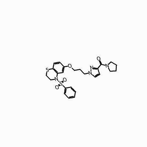 O=C(c1ccn(CCCOc2ccc3c(c2)N(S(=O)(=O)c2ccccc2)CCS3)n1)N1CCCC1